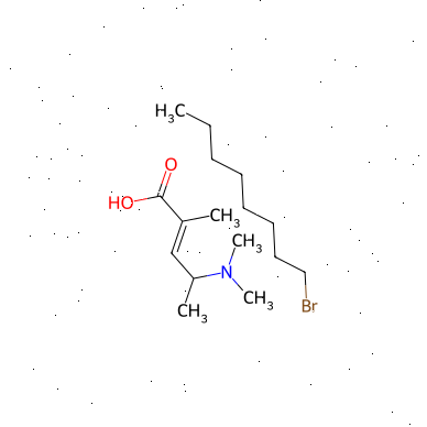 CC(=CC(C)N(C)C)C(=O)O.CCCCCCCCBr